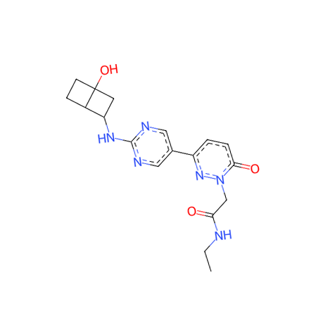 CCNC(=O)Cn1nc(-c2cnc(NC3CC4(O)CCC34)nc2)ccc1=O